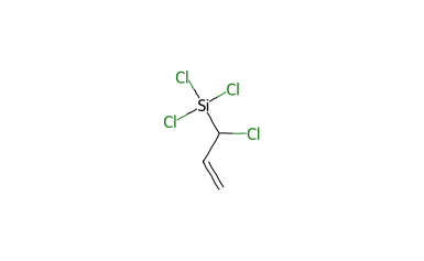 C=CC(Cl)[Si](Cl)(Cl)Cl